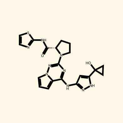 O=C(Nc1nccs1)[C@@H]1CCCN1c1nc(Nc2cc(C3(O)CC3)[nH]n2)c2cccn2n1